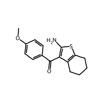 COc1ccc(C(=O)c2c(N)sc3c2CCCC3)cc1